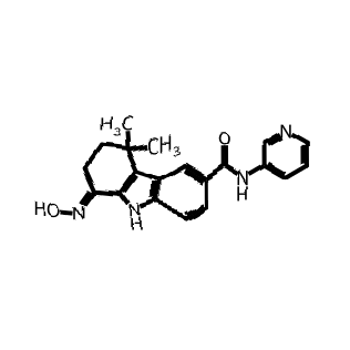 CC1(C)CC/C(=N\O)c2[nH]c3ccc(C(=O)Nc4cccnc4)cc3c21